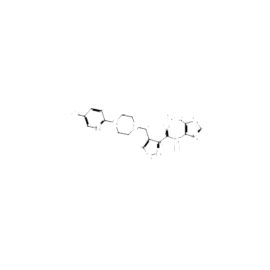 C[C@@H]1CN(Cc2c[nH]nc2C(=O)Nc2nc[nH]c2C#N)CCN1c1ccc(C(F)(F)F)cn1